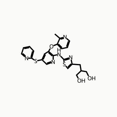 Cc1ncccc1Oc1cc(Sc2ccccn2)cnc1Nc1nc(CC(CO)CO)cs1